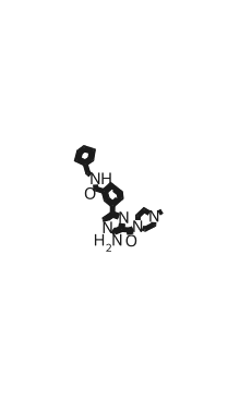 CN1CCN(C(=O)c2nc(-c3cccc(C(=O)NCc4ccccc4)c3)cnc2N)CC1